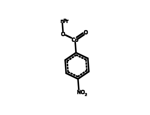 CCC[O][Co](=[O])[c]1ccc([N+](=O)[O-])cc1